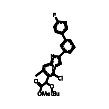 COC(=O)C(OC(C)(C)C)c1c(C)cc2nc(-c3cccc(-c4ccc(F)cc4)c3)cn2c1Cl